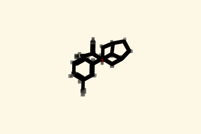 NC(=O)OC1C2CCC1CN(c1ccnc(Cl)c1)C2